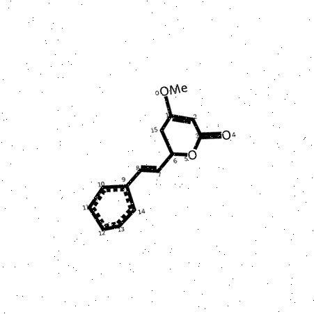 COC1=CC(=O)OC(C=Cc2ccccc2)C1